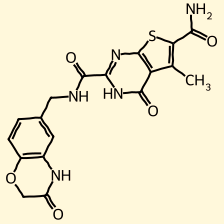 Cc1c(C(N)=O)sc2nc(C(=O)NCc3ccc4c(c3)NC(=O)CO4)[nH]c(=O)c12